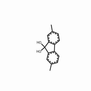 Cc1ccc2c(c1)C(O)(O)c1cc(C)ccc1-2